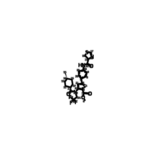 COC(=O)c1sc(-c2ccc(NC(=O)C3CSC=N3)cc2)cc1N(CC(F)(F)F)C(=O)[C@H]1CC[C@H](C)CC1